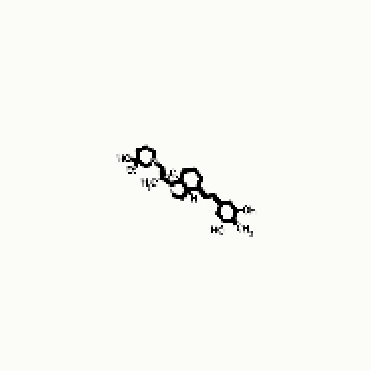 C=C1[C@H](O)CC(=CC=C2CCC[C@]3(C)[C@@H]([C@H](C)CN4CCCC(O)(CC)C4)CC[C@@H]23)C[C@H]1O